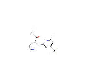 CNC(=O)C1CC=NN1c1cc(C(F)(F)F)cc(C)n1